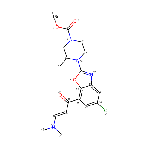 CC1CN(C(=O)OC(C)(C)C)CCN1c1nc2cc(Cl)cc(C(=O)C=CN(C)C)c2o1